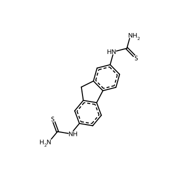 NC(=S)Nc1ccc2c(c1)Cc1cc(NC(N)=S)ccc1-2